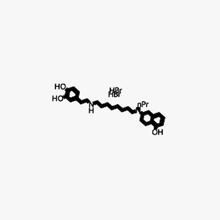 Br.Br.CCCN(CCCCCCCCNCCc1ccc(O)c(O)c1)C1CCc2c(O)cccc2C1